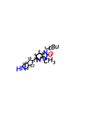 Cn1c(=O)n(CC(C)(C)C)c2ccc(C3CC4CNCC4C3)nc21